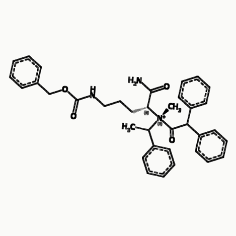 CC(c1ccccc1)[N@@+](C)(C(=O)C(c1ccccc1)c1ccccc1)[C@H](CCCNC(=O)OCc1ccccc1)C(N)=O